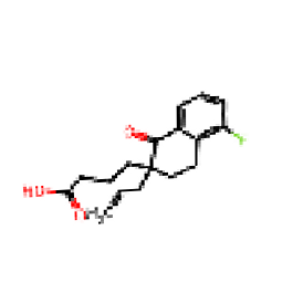 C=CCC1(CCCC(=O)O)CCc2c(F)cccc2C1=O